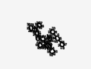 c1ccc(-c2ccc(-c3ccccc3)c(-c3cnc(-c4ccc5oc6cc7c8ccccc8n(-c8ccccc8)c7cc6c5c4)c(-c4nc(-c5ccccc5)nc(-c5ccccc5)n4)c3)c2)cc1